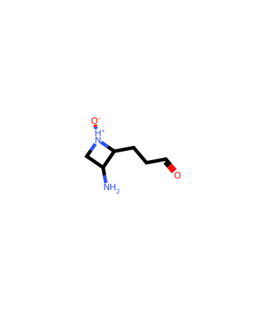 NC1C[NH+]([O-])C1CCC=O